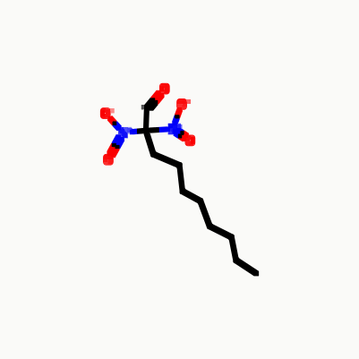 CCCCCCCCC([C]=O)([N+](=O)[O-])[N+](=O)[O-]